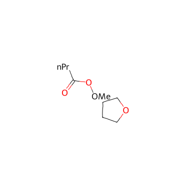 C1CCOC1.CCCC(=O)OOC